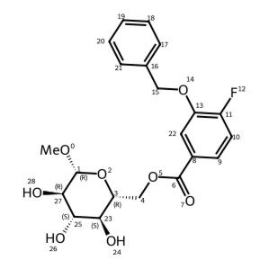 CO[C@@H]1O[C@H](COC(=O)c2ccc(F)c(OCc3ccccc3)c2)[C@@H](O)[C@H](O)[C@H]1O